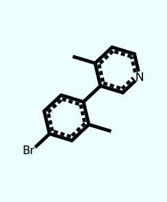 Cc1cc(Br)ccc1-c1cnccc1C